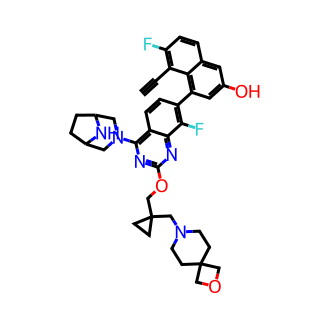 C#Cc1c(F)ccc2cc(O)cc(-c3ccc4c(N5CC6CCC(C5)N6)nc(OCC5(CN6CCC7(CC6)COC7)CC5)nc4c3F)c12